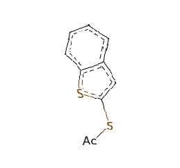 CC(=O)Sc1cc2ccccc2s1